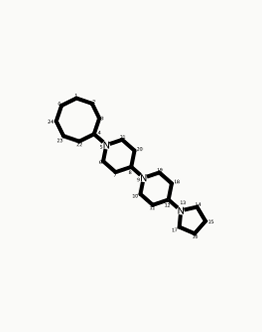 C1CCCC(N2CCC(N3CCC(N4CCCC4)CC3)CC2)CCC1